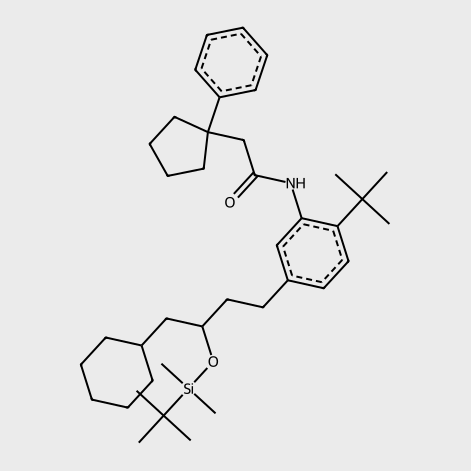 CC(C)(C)c1ccc(CCC(CC2CCCCC2)O[Si](C)(C)C(C)(C)C)cc1NC(=O)CC1(c2ccccc2)CCCC1